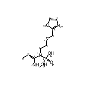 CN=C(N)N(CCSCc1ncco1)P(=O)(O)O